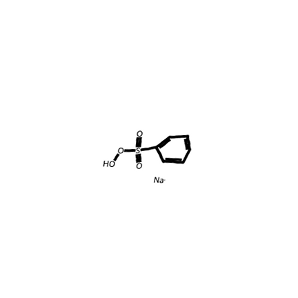 O=S(=O)(OO)c1ccccc1.[Na]